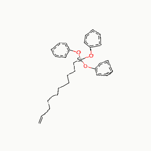 C=CCCCCCCCC[Si](Oc1ccccc1)(Oc1ccccc1)Oc1ccccc1